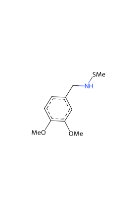 COc1ccc(CNSC)cc1OC